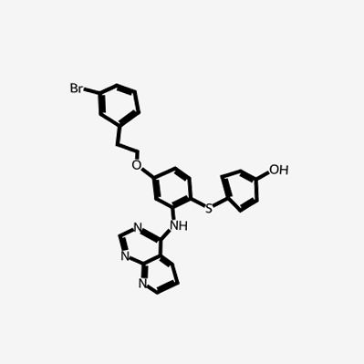 Oc1ccc(Sc2ccc(OCCc3cccc(Br)c3)cc2Nc2ncnc3ncccc23)cc1